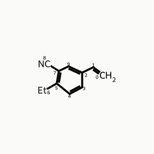 C=Cc1ccc(CC)c(C#N)c1